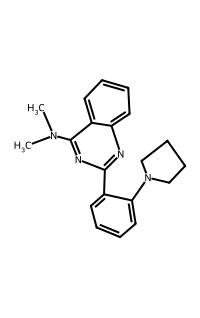 CN(C)c1nc(-c2ccccc2N2CCCC2)nc2ccccc12